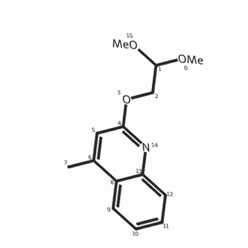 COC(COc1cc(C)c2ccccc2n1)OC